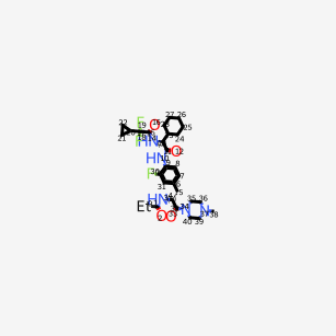 CCC(=O)N[C@H](Cc1ccc(NC(=O)[C@@H](NC(=O)C(F)(F)C2CC2)C2CCCCC2)c(F)c1)C(=O)N1CCN(C)CC1